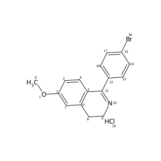 COc1ccc2c(c1)CCN=C2c1ccc(Br)cc1.Cl